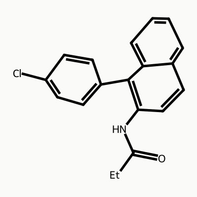 CCC(=O)Nc1ccc2ccccc2c1-c1ccc(Cl)cc1